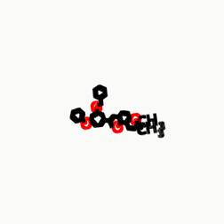 CC1(C)C=Cc2c(ccc3c2OCC(C2=CC=C(Oc4ccccc4)C=C(OCc4ccccc4)C2)=C3)O1